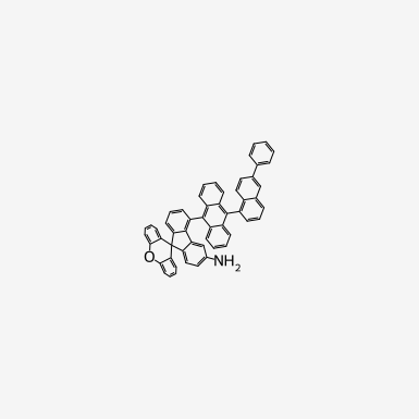 Nc1ccc2c(c1)-c1c(-c3c4ccccc4c(-c4cccc5cc(-c6ccccc6)ccc45)c4ccccc34)cccc1C21c2ccccc2Oc2ccccc21